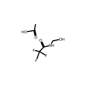 CC(=O)O.O=C(NCO)C(F)(F)F